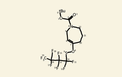 CC(C)(C)OC(=O)N1CC=C(OSC(F)(F)C(F)(F)C(F)(F)C(F)(F)F)CCC1